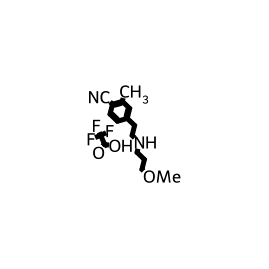 COCCCNCCc1ccc(C#N)c(C)c1.O=C(O)C(F)(F)F